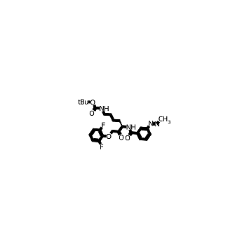 CN=Nc1cccc(C(=O)N[C@H](CCCCNC(=O)OC(C)(C)C)C(=O)COc2c(F)cccc2F)c1